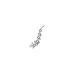 CCCCCc1ccc(-c2ccc(-c3ccc(-c4cc(F)c(C(F)(F)Oc5cc(F)c(Cl)c(F)c5)c(F)c4)c(F)c3)c(F)c2)cc1